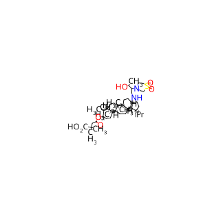 CC(O)C(CN[C@]12CC[C@@H](C(C)C)[C@@H]1[C@H]1CC[C@@H]3[C@@]4(C)CC[C@H](OC(=O)CC(C)(C)C(=O)O)C(C)(C)[C@@H]4CC[C@@]3(C)[C@]1(C)CC2)N1CCS(=O)(=O)CC1